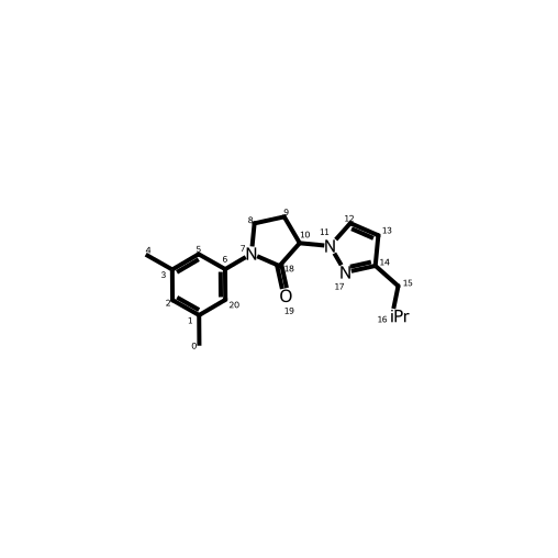 Cc1cc(C)cc(N2CCC(n3ccc(CC(C)C)n3)C2=O)c1